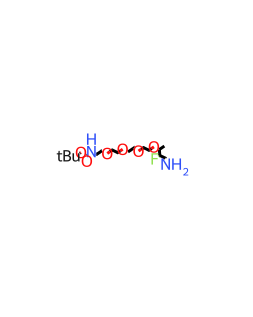 CC(OCCOCCOCCOCCNC(=O)OC(C)(C)C)C(F)CN